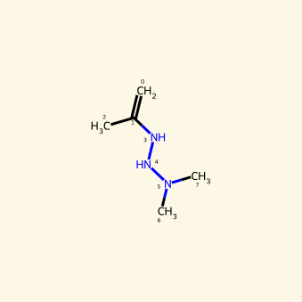 C=C(C)NNN(C)C